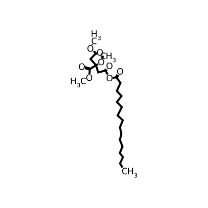 CCCCCCCCCCCCCCCC(=O)OC(=O)CC(CC(=O)OC)(OC)C(=O)OC